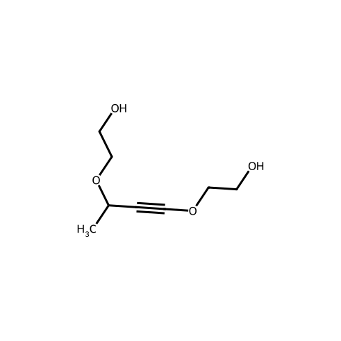 CC(C#COCCO)OCCO